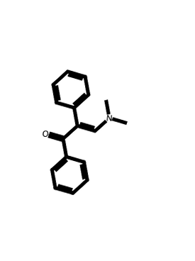 CN(C)C=C(C(=O)c1ccccc1)c1ccccc1